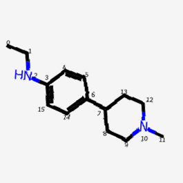 CCNc1ccc(C2CCN(C)CC2)cc1